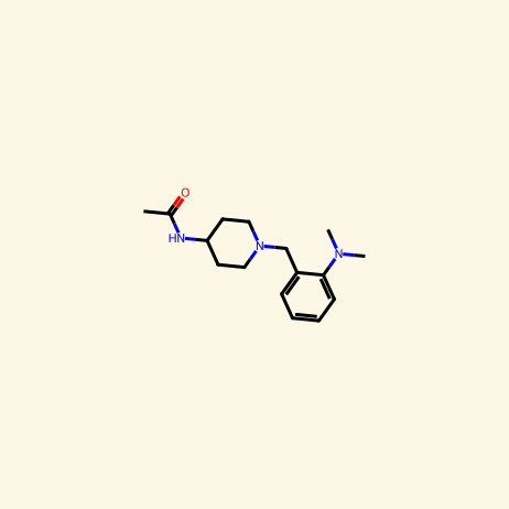 CC(=O)NC1CCN(Cc2ccccc2N(C)C)CC1